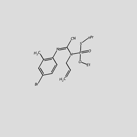 C=CCN(C(C#N)=Nc1ccc(Br)cc1C)P(=O)(OCC)SCCC